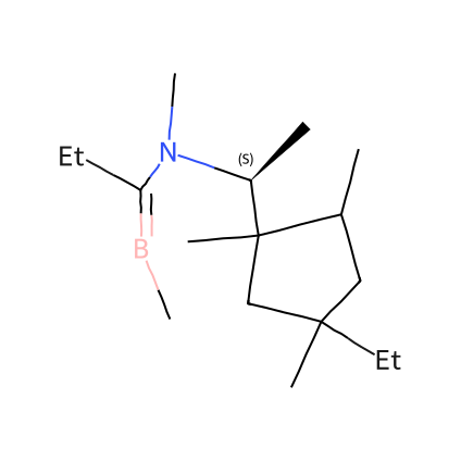 CB=C(CC)N(C)[C@@H](C)C1(C)CC(C)(CC)CC1C